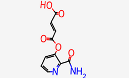 NC(=O)c1ncccc1OC(=O)/C=C/C(=O)O